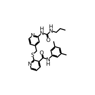 CCCNC(=O)Nc1cc(CSc2ncccc2C(=O)Nc2cc(C)cc(C)c2)ccn1